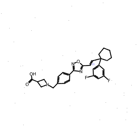 O=C(O)C1CN(Cc2ccc(-c3noc(/C=C/C4(c5cc(F)cc(F)c5)CCCCC4)n3)cc2)C1